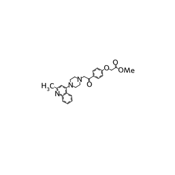 COC(=O)COc1ccc(C(=O)CN2CCN(c3cc(C)nc4ccccc34)CC2)cc1